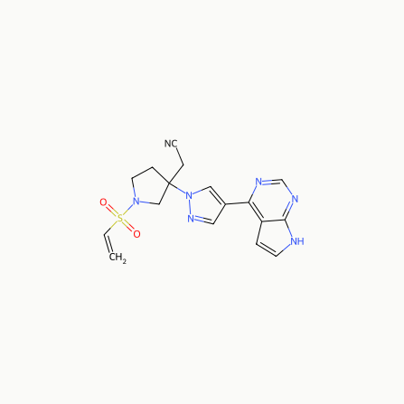 C=CS(=O)(=O)N1CCC(CC#N)(n2cc(-c3ncnc4[nH]ccc34)cn2)C1